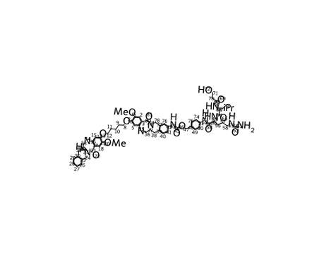 COc1cc2c(cc1OCCCCCOc1cc3c(cc1OC)C(=O)N1Cc4ccccc4C[C@H]1C=N3)N=CC1Cc3ccc(NC(=O)OCc4ccc(NC(=O)[C@H](CCCNC(N)=O)NC(=O)[C@@H](NC(=O)CCO)C(C)C)cc4)cc3CN1C2=O